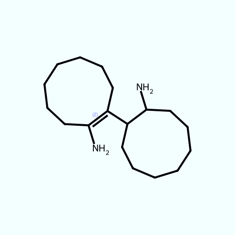 N/C1=C(\C2CCCCCCCC2N)CCCCCCC1